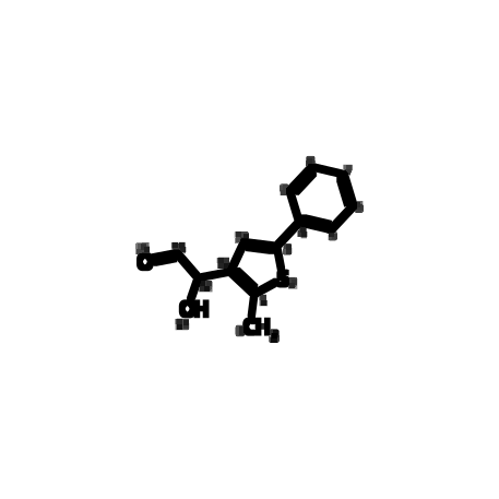 Cc1sc(-c2ccccc2)cc1C(O)C=O